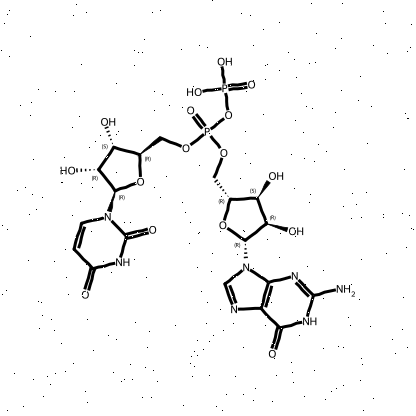 Nc1nc2c(ncn2[C@@H]2O[C@H](COP(=O)(OC[C@H]3O[C@@H](n4ccc(=O)[nH]c4=O)[C@H](O)[C@@H]3O)OP(=O)(O)O)[C@@H](O)[C@H]2O)c(=O)[nH]1